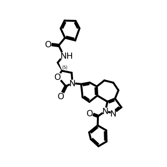 O=C(NC[C@H]1CN(c2ccc3c(c2)CCCc2cnn(C(=O)c4ccccc4)c2-3)C(=O)O1)c1ccccc1